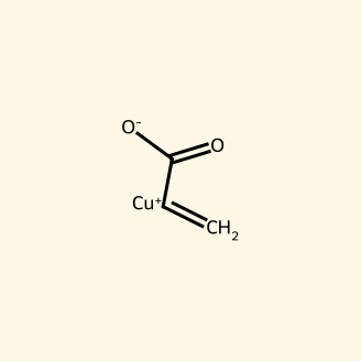 C=CC(=O)[O-].[Cu+]